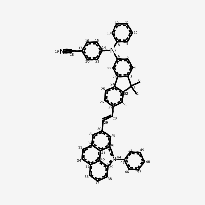 CC1(C)c2ccc(N(c3ccccc3)c3ccc(C#N)cc3)cc2-c2ccc(/C=C/c3cc4ccc5cccc6c5c4c(c3)n6-c3ccccc3)cc21